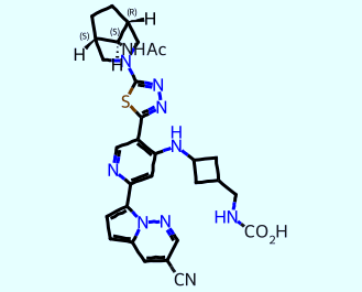 CC(=O)N[C@@H]1[C@@H]2CC[C@H]1CN(c1nnc(-c3cnc(-c4ccc5cc(C#N)cnn45)cc3NC3CC(CNC(=O)O)C3)s1)C2